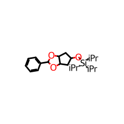 CC(C)[Si](OC1CC2OC(c3ccccc3)OC2C1)(C(C)C)C(C)C